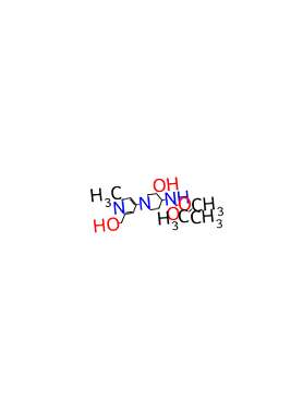 Cc1cc(N2CCC(NC(=O)OC(C)(C)C)C(O)C2)cc(CO)n1